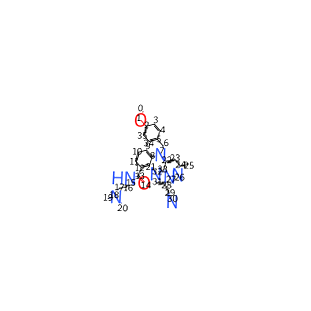 COc1ccc(CN(c2cccc(C(=O)NCCN(C)C)c2)c2cc(C)nn3c(C#N)cnc23)cc1